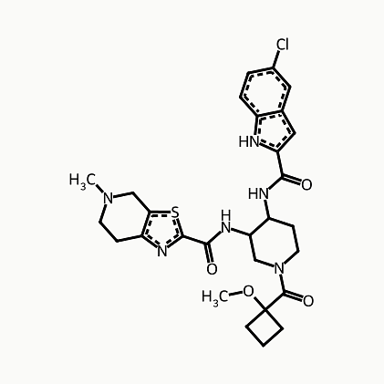 COC1(C(=O)N2CCC(NC(=O)c3cc4cc(Cl)ccc4[nH]3)C(NC(=O)c3nc4c(s3)CN(C)CC4)C2)CCC1